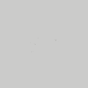 CC(C)C(c1cccc(N)c1)N1C2C=C[C@H]1CC2